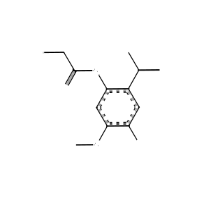 CNc1cc(NC(=O)CCl)c(C(C)C)cc1F